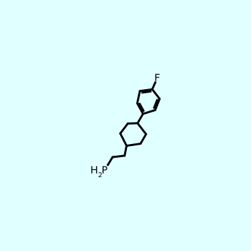 Fc1ccc(C2CCC(CCP)CC2)cc1